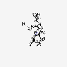 CC1=C/C(=N/c2cnn(CCO)c2N)C(N)=C(Cl)C1=O